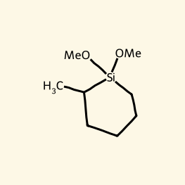 CO[Si]1(OC)CCCCC1C